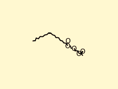 CCCCCCCC/C=C\CCCCCCCC(=O)OCCOCCOC(C)=O